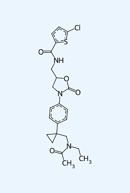 CCN(CC1(c2ccc(N3CC(CNC(=O)c4ccc(Cl)s4)OC3=O)cc2)CC1)C(C)=O